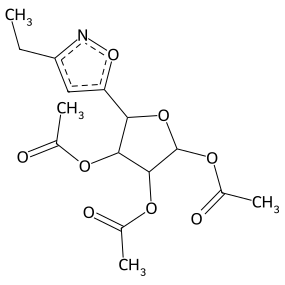 CCc1cc(C2OC(OC(C)=O)C(OC(C)=O)C2OC(C)=O)on1